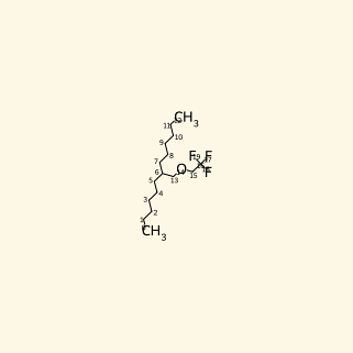 CCCCCCC(CCCCCC)COCC(F)(F)F